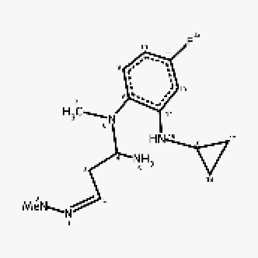 CN/N=C\CC(N)N(C)c1ccc(F)cc1NC1CC1